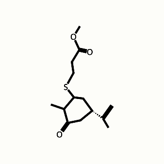 C=C(C)[C@@H]1CC(=O)C(C)C(SCCC(=O)OC)C1